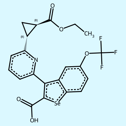 CCOC(=O)[C@@H]1C[C@H]1c1cccc(-c2c(C(=O)O)[se]c3ccc(OC(F)(F)F)cc23)n1